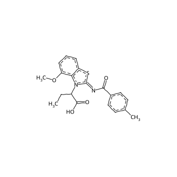 CCC(C(=O)O)n1/c(=N/C(=O)c2ccc(C)cc2)sc2cccc(OC)c21